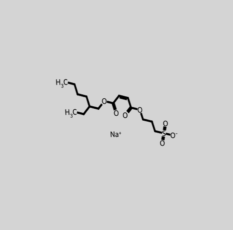 CCCCC(CC)COC(=O)/C=C\C(=O)OCCCS(=O)(=O)[O-].[Na+]